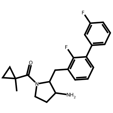 CC1(C(=O)N2CCC(N)C2Cc2cccc(-c3cccc(F)c3)c2F)CC1